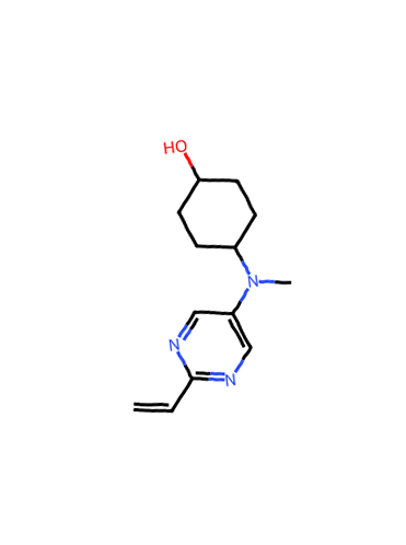 C=Cc1ncc(N(C)C2CCC(O)CC2)cn1